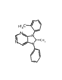 Cc1ccccc1N1c2ncncc2N(c2ccccc2)C1C